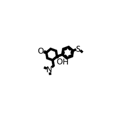 CSc1ccc(C2(O)CCC(=O)CC2CN(C)C)cc1